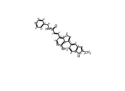 Cc1cc2cc(-c3csc4c(C=CC(=O)NCc5ccncc5)cnc(N)c34)ccc2[nH]1